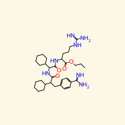 CCCOC(=O)C(CCCNC(=N)N)NC(=O)C(NC(=O)C(Cc1ccc(C(=N)N)cc1)C1CCCCC1)C1CCCCC1